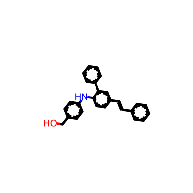 OCc1ccc(Nc2ccc(C=Cc3ccccc3)cc2-c2ccccc2)cc1